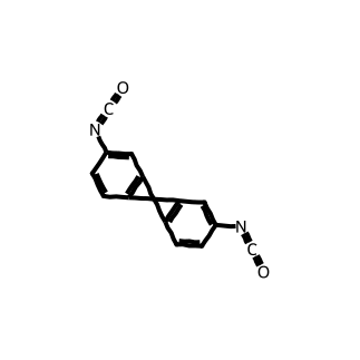 O=C=Nc1ccc2c(c1)C21c2ccc(N=C=O)cc21